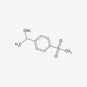 CC(=O)OC(C)c1ccc(S(C)(=O)=O)cc1